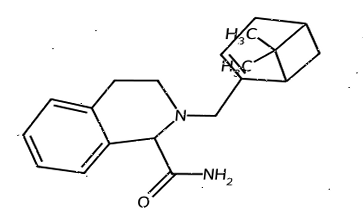 CC1(C)C2CC=C(CN3CCc4c[c]ccc4C3C(N)=O)C1C2